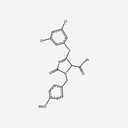 COc1ccc(CN2C(=O)N=C(Sc3cc(Cl)cc(Cl)c3)C2C(=O)C(C)C)cc1